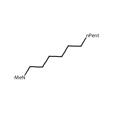 CCCCCCCCCCC[N]C